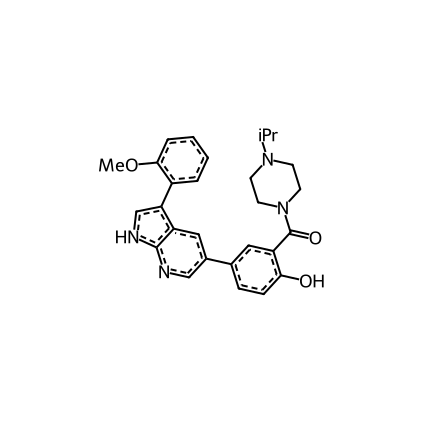 COc1ccccc1-c1c[nH]c2ncc(-c3ccc(O)c(C(=O)N4CCN(C(C)C)CC4)c3)cc12